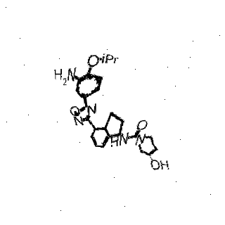 CC(C)Oc1ccc(-c2nc(C3C=CC=C4C3CC[C@@H]4NC(=O)N3CC[C@H](O)C3)no2)cc1N